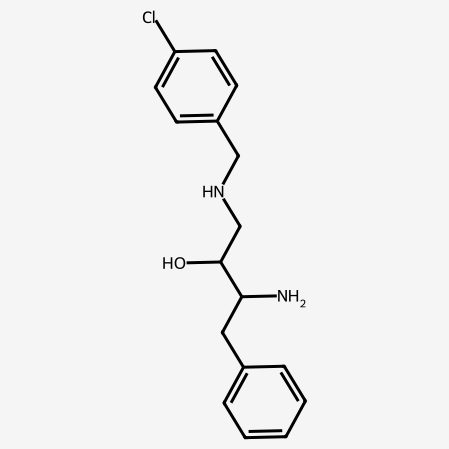 NC(Cc1ccccc1)C(O)CNCc1ccc(Cl)cc1